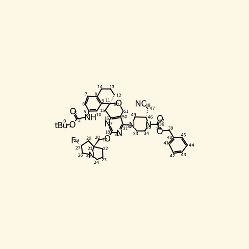 CC(C)(C)OC(=O)Nc1ccc2c(c1)[C@]1(CCC2)Cc2nc(OC[C@@]34CCCN3C[C@H](F)C4)nc(N3CCN(C(=O)OCc4ccccc4)[C@@H](CC#N)C3)c2CO1